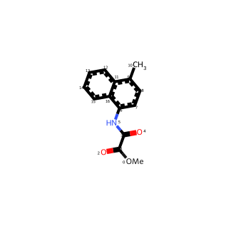 COC(=O)C(=O)Nc1ccc(C)c2ccccc12